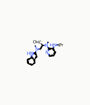 CC(C)Nc1cccnc1N(C)C(C=O)CN(C)c1cc2ccccc2[nH]1